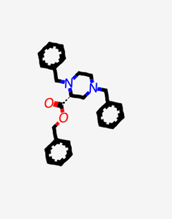 O=C(OCc1ccccc1)[C@H]1CN(Cc2ccccc2)CCN1Cc1ccccc1